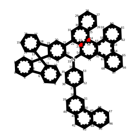 c1ccc2c(c1)-c1ccccc1C21c2ccccc2-c2cc(-c3ccc4ccccc4c3)c(N(c3ccc(-c4ccc5ccc6ccccc6c5c4)cc3)c3ccc4c5ccccc5c5ccccc5c4c3)cc21